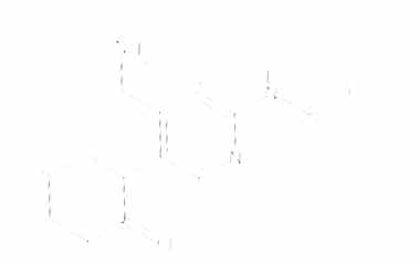 C=C1CCCCC1c1cnc(NC=O)cc1CN